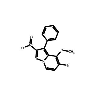 COc1c(Br)ccn2nc([N+](=O)[O-])c(-c3ccccc3)c12